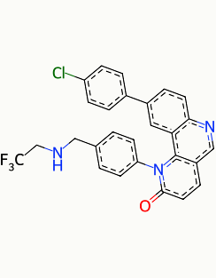 O=c1ccc2cnc3ccc(-c4ccc(Cl)cc4)cc3c2n1-c1ccc(CNCC(F)(F)F)cc1